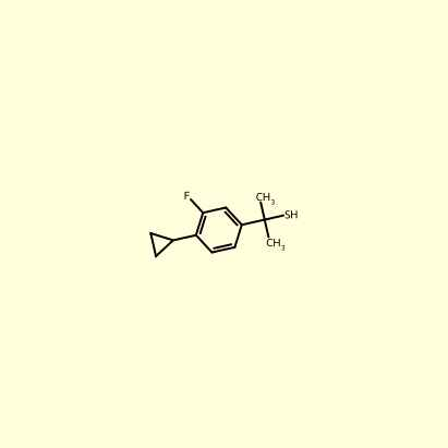 CC(C)(S)c1ccc(C2CC2)c(F)c1